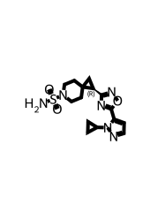 NS(=O)(=O)N1CCC2(CC1)C[C@H]2c1noc(-c2ccnn2C2CC2)n1